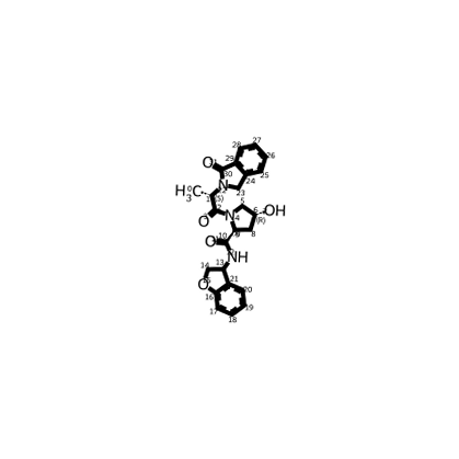 C[C@@H](C(=O)N1C[C@H](O)C[C@H]1C(=O)NC1COc2ccccc21)N1Cc2ccccc2C1=O